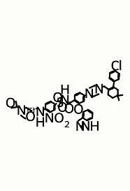 CC1(C)CCC(CN2CCN(c3ccc(C(=O)NS(=O)(=O)c4ccc(NC[C@H]5CN(C6COC6)CCO5)c([N+](=O)[O-])c4)c(Oc4cccc5[nH]ncc45)c3)CC2)=C(c2ccc(Cl)cc2)C1